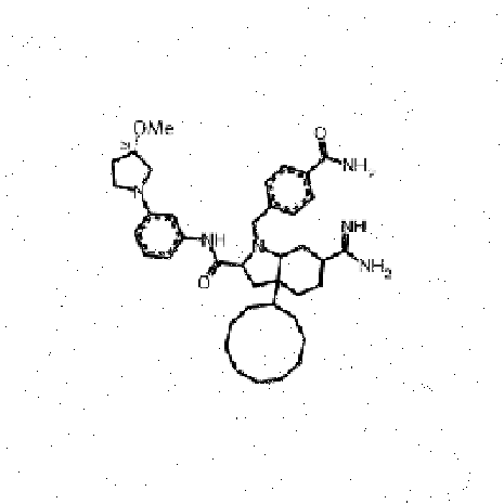 CO[C@H]1CCN(c2cccc(NC(=O)C3CC4(C5CCCCCCCCC5)CCC(C(=N)N)CC4N3Cc3ccc(C(N)=O)cc3)c2)C1